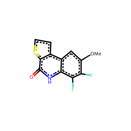 COc1cc2c([nH]c(=O)c3sccc32)c(F)c1F